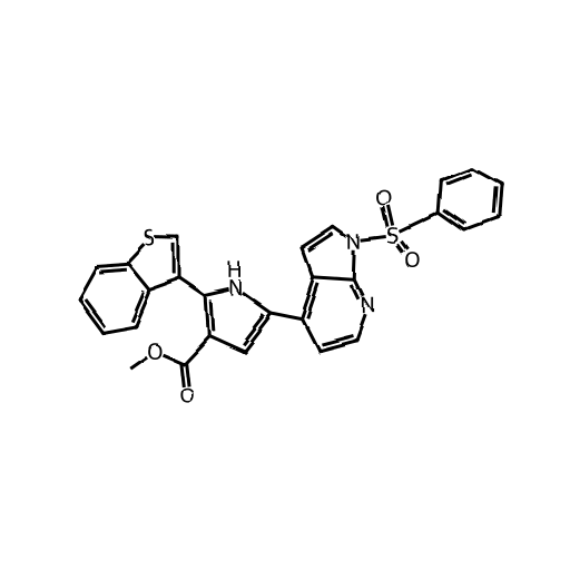 COC(=O)c1cc(-c2ccnc3c2ccn3S(=O)(=O)c2ccccc2)[nH]c1-c1csc2ccccc12